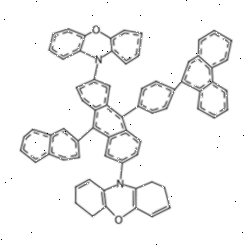 C1=CC2=C(CC1)OC1=C(CCC=C1)N2c1ccc2c(-c3ccc(-c4cc5ccccc5c5ccccc45)cc3)c3cc(N4c5ccccc5Oc5ccccc54)ccc3c(-c3ccc4ccccc4c3)c2c1